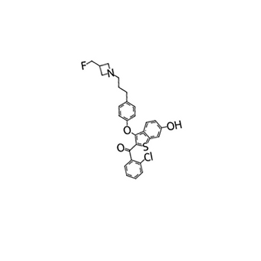 O=C(c1ccccc1Cl)c1sc2cc(O)ccc2c1Oc1ccc(CCCN2CC(CF)C2)cc1